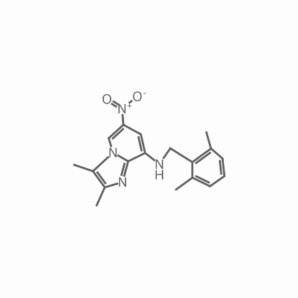 Cc1cccc(C)c1CNc1cc([N+](=O)[O-])cn2c(C)c(C)nc12